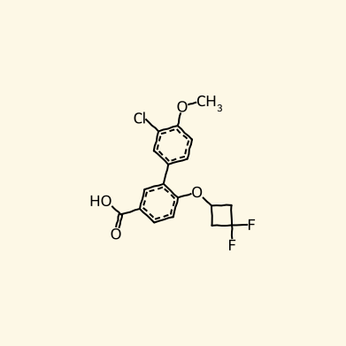 COc1ccc(-c2cc(C(=O)O)ccc2OC2CC(F)(F)C2)cc1Cl